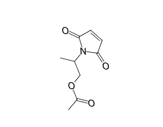 CC(=O)OCC(C)N1C(=O)C=CC1=O